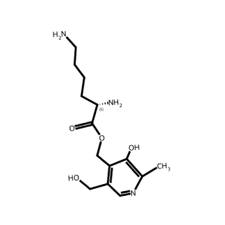 Cc1ncc(CO)c(COC(=O)[C@@H](N)CCCCN)c1O